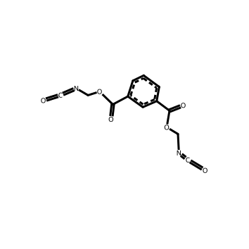 O=C=NCOC(=O)c1cccc(C(=O)OCN=C=O)c1